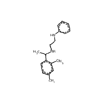 Cc1ccc(C(C)NCCNc2ccccc2)c(C)c1